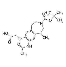 CC(=O)Nc1cc2c(cc1OCC(=O)O)CCN(C(=O)OC(C)(C)C)CC2C